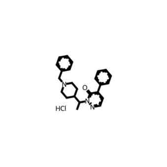 CC(C1CCN(Cc2ccccc2)CC1)n1nccc(-c2ccccc2)c1=O.Cl